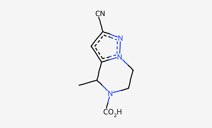 CC1c2cc(C#N)nn2CCN1C(=O)O